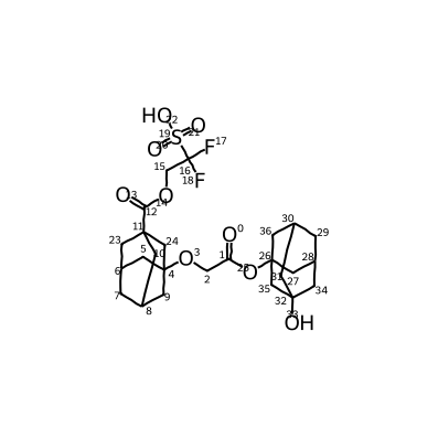 O=C(COC12CC3CC(C1)CC(C(=O)OCC(F)(F)S(=O)(=O)O)(C3)C2)OC12CC3CC(CC(O)(C3)C1)C2